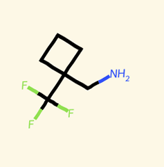 NCC1(C(F)(F)F)CCC1